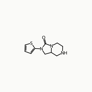 O=C1N(c2cccs2)CC2CNCCN12